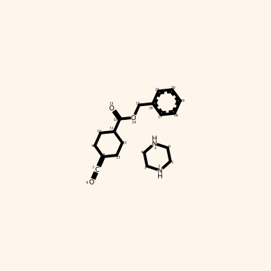 C1CNCCN1.O=C=C1CCC(C(=O)OCc2ccccc2)CC1